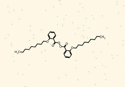 CCCCCCCCCOc1ccccc1C(=O)OOC(=O)c1ccccc1OCCCCCCCCC